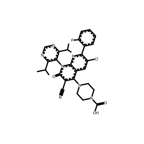 CC(C)c1ncnc(C(C)C)c1-n1c(=O)c(C#N)c(N2CCN(C(=O)O)CC2)c2cc(Cl)c(-c3ccccc3F)nc21